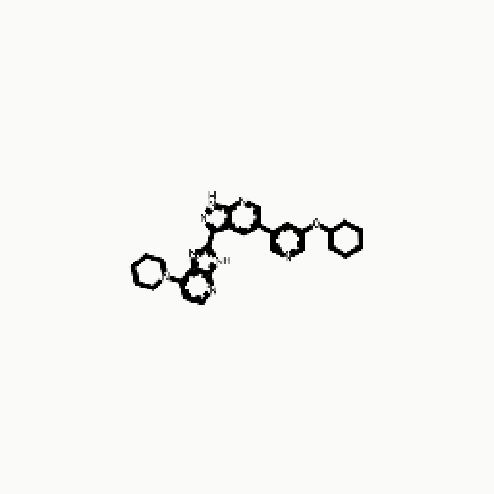 c1cc(N2CCCCC2)c2nc(-c3n[nH]c4ncc(-c5cncc(OC6CCCCC6)c5)cc34)[nH]c2n1